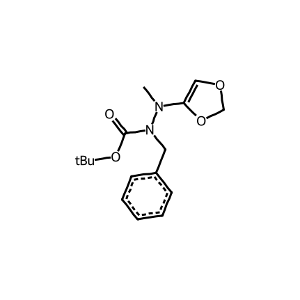 CN(C1=COCO1)N(Cc1ccccc1)C(=O)OC(C)(C)C